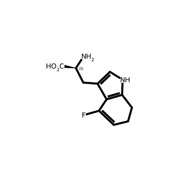 N[C@@H](Cc1c[nH]c2c1C(F)=CCC2)C(=O)O